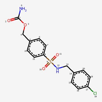 NC(=O)OCc1ccc(S(=O)(=O)NCc2ccc(Cl)cc2)cc1